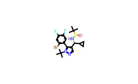 CC(C)(C)n1ncc([C@H](N[S@+]([O-])C(C)(C)C)C2CC2)c1-c1cc(F)c(F)cc1Br